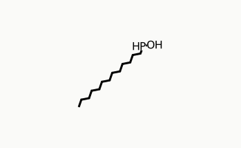 CCCCCCCCCCCCCPO